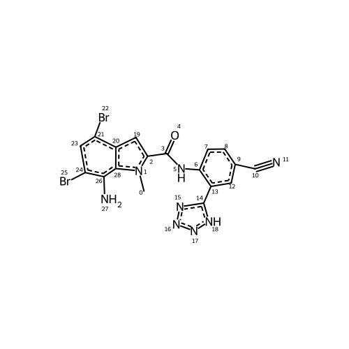 Cn1c(C(=O)Nc2ccc(C#N)cc2-c2nnn[nH]2)cc2c(Br)cc(Br)c(N)c21